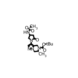 C[C@H]1Cn2ncc(N3CC(NS(C)(=O)=O)CC3=O)c2CN1C(=O)OC(C)(C)C